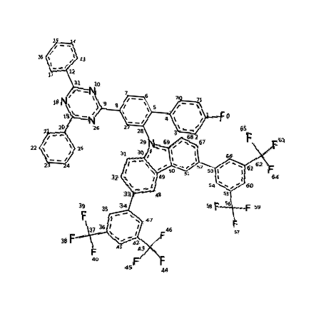 Fc1ccc(-c2ccc(-c3nc(-c4ccccc4)nc(-c4ccccc4)n3)cc2-n2c3ccc(-c4cc(C(F)(F)F)cc(C(F)(F)F)c4)cc3c3cc(-c4cc(C(F)(F)F)cc(C(F)(F)F)c4)ccc32)cc1